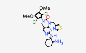 COc1cc(OC)c(Cl)c(N2Cc3cnc(N[C@@H]4CCCC[C@@H]4N)nc3N(Cc3cscn3)C2=O)c1Cl